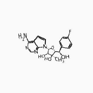 C[C@@]1(O)[C@@H]([C@H](O)c2ccc(F)cc2)O[C@@H](n2ccc3c(N)ncnc32)[C@@H]1O